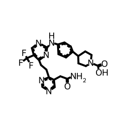 NC(=O)Cc1cncnc1CCc1nc(Nc2ccc(C3CCN(C(=O)O)CC3)cc2)ncc1C(F)(F)F